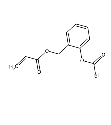 C=CC(=O)OCc1ccccc1OC(=O)CC